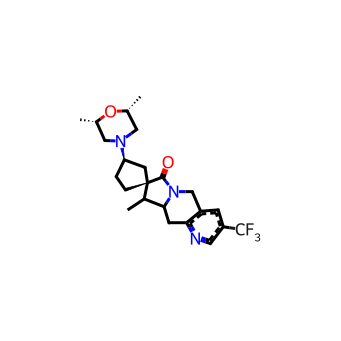 CC1C2Cc3ncc(C(F)(F)F)cc3CN2C(=O)[C@]12CC[C@@H](N1C[C@@H](C)O[C@@H](C)C1)C2